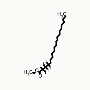 CCCCCCCCCCCCCCCCCCC(I)(I)C(I)(I)C(I)(I)C(=O)OCC